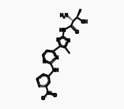 Cc1nc(NC(=O)[C@H](N)[C@@H](C)O)sc1-c1ccnc(Nc2cccc([N+](=O)[O-])c2)n1